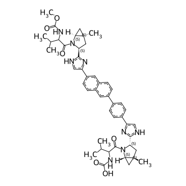 COC(=O)NC(C(=O)N1[C@H]2C[C@@]2(C)C[C@H]1c1nc(-c2ccc3cc(-c4ccc(-c5c[nH]c([C@@H]6C[C@]7(C)C[C@@H]7N6C(=O)C(NC(=O)O)C(C)C)n5)cc4)ccc3c2)c[nH]1)C(C)C